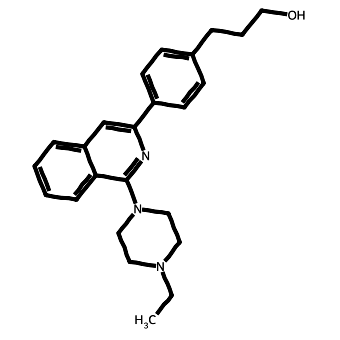 CCN1CCN(c2nc(-c3ccc(CCCO)cc3)cc3ccccc23)CC1